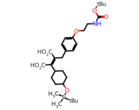 CC(C)(C)OC(=O)NCCOc1ccc(CC(C(=O)O)=C(C(=O)O)C2CCC(O[Si](C)(C)C(C)(C)C)CC2)cc1